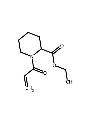 C=CC(=O)N1CCCCC1C(=O)OCC